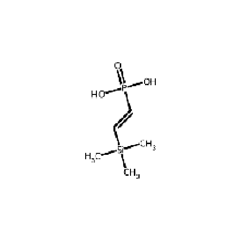 C[Si](C)(C)/C=C/P(=O)(O)O